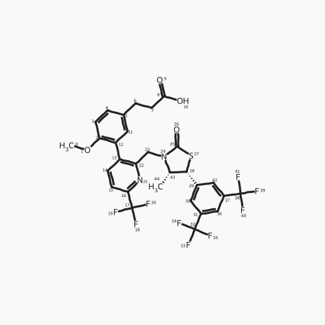 COc1ccc(CCC(=O)O)cc1-c1ccc(C(F)(F)F)nc1CN1C(=O)S[C@H](c2cc(C(F)(F)F)cc(C(F)(F)F)c2)[C@@H]1C